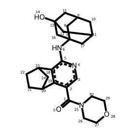 O=C(c1cnc(NC23CC4CC(CC(O)(C4)C2)C3)c2c1C1CCC2C1)N1CCOCC1